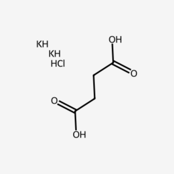 Cl.O=C(O)CCC(=O)O.[KH].[KH]